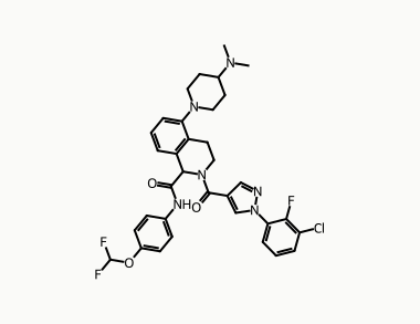 CN(C)C1CCN(c2cccc3c2CCN(C(=O)c2cnn(-c4cccc(Cl)c4F)c2)C3C(=O)Nc2ccc(OC(F)F)cc2)CC1